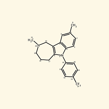 Cc1ccc2c(c1)c1c(n2-c2ccc(C(F)(F)F)cc2)CCCN(C)C1